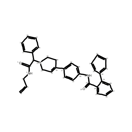 C=CCNC(=O)C(c1ccccc1)N1CC=C(c2ccc(NC(=O)c3ccccc3-c3ccccc3)cc2)CC1